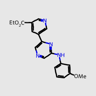 CCOC(=O)c1cncc(-c2cncc(Nc3cccc(OC)c3)n2)c1